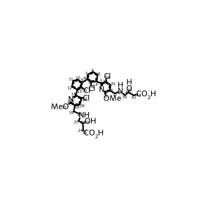 COc1nc(-c2cccc(-c3cccc(-c4nc(OC)c(CNC[C@@H](O)CC(=O)O)cc4Cl)c3Cl)c2Cl)c(Cl)cc1CNC[C@@H](O)CC(=O)O